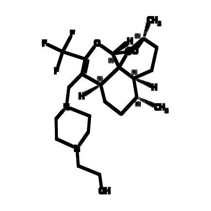 C[C@@H]1CC[C@H]2C(CN3CCN(CCO)CC3)=C(C(F)(F)F)O[C@@H]3O[C@]4(C)CC[C@@H]1C32OO4